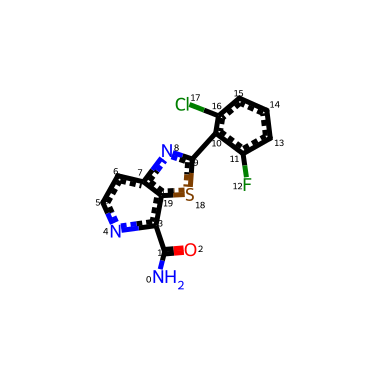 NC(=O)c1nccc2nc(-c3c(F)cccc3Cl)sc12